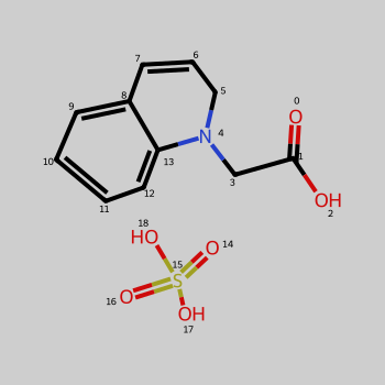 O=C(O)CN1CC=Cc2ccccc21.O=S(=O)(O)O